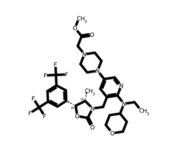 CCN(c1ncc(N2CCN(CC(=O)OC)CC2)cc1CN1C(=O)O[C@H](c2cc(C(F)(F)F)cc(C(F)(F)F)c2)[C@@H]1C)C1CCOCC1